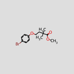 COC(=O)C(C)(C)CCOc1ccc(Br)cc1